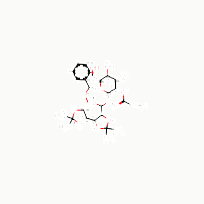 CCCCCCCC(=O)O[C@@H]1[C@H](OC(O)[C@H]2OC(C)(C)O[C@H]2[C@@H]2OC(C)(C)O[C@@H]2COCc2ccccc2)O[C@H](CO)[C@@H](O)[C@@H]1O